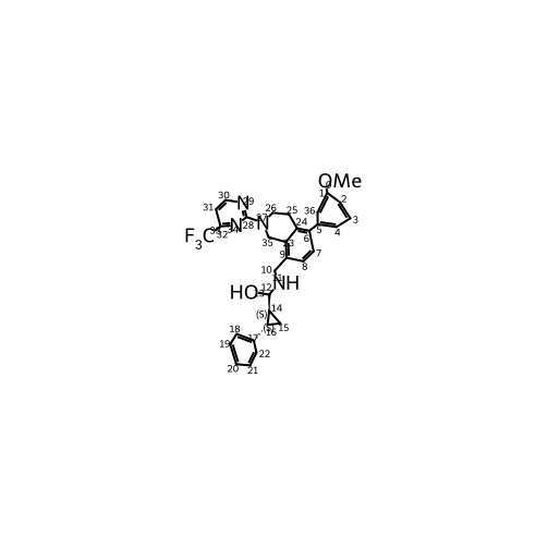 COc1cccc(-c2ccc(CNC(O)[C@H]3C[C@@H]3c3ccccc3)c3c2CCN(c2nccc(C(F)(F)F)n2)C3)c1